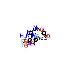 COC(=O)c1ccc(OCCn2cc(-c3cnc(N)c4c(-c5ccc(NS(=O)(=O)C(F)F)c(OC(C)c6ccc(F)cc6)c5)nn(C)c34)cn2)cc1